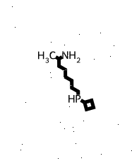 CC(N)CCCCCCPC1CCC1